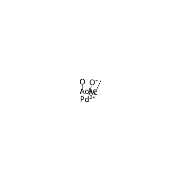 CC(=O)[O-].CC(=O)[O-].CC(C)=O.[Pd+2]